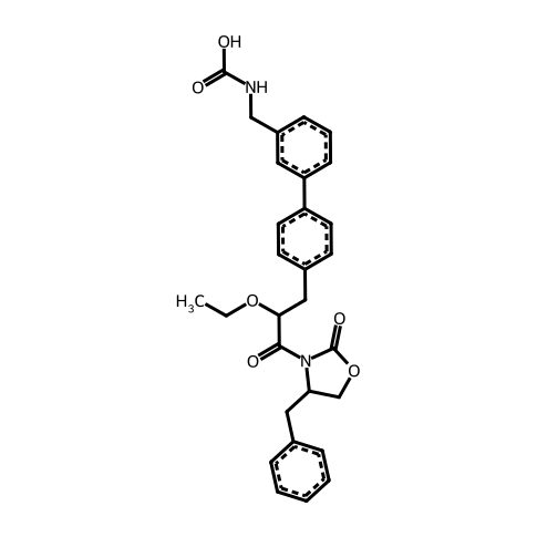 CCOC(Cc1ccc(-c2cccc(CNC(=O)O)c2)cc1)C(=O)N1C(=O)OCC1Cc1ccccc1